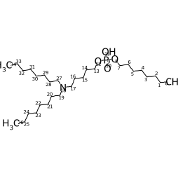 CCCCCCCCOP(=O)(O)OCCCCCN(CCCCCCCC)CCCCCCCC